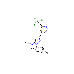 Cc1ccc2c(=O)n(C)c3cc(-c4ccnc(C(F)(F)F)c4)nn3c2c1